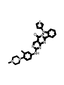 Cc1cc(Nc2ncc3c(=O)n4c(nc3n2)c2ccccc2n4-c2ccsc2)ccc1N1CCN(C)CC1